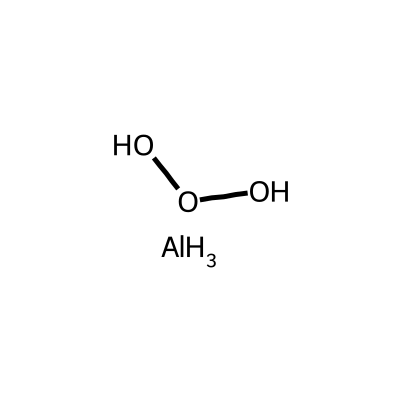 OOO.[AlH3]